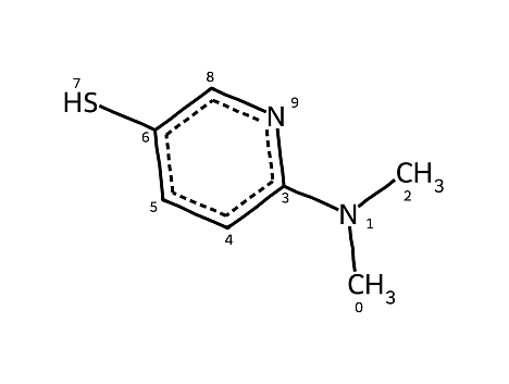 CN(C)c1ccc(S)cn1